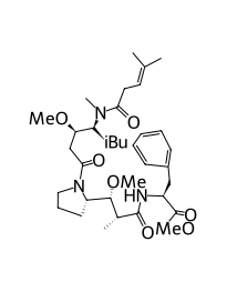 CC[C@H](C)[C@@H]([C@@H](CC(=O)N1CCC[C@H]1[C@H](OC)[C@@H](C)C(=O)N[C@@H](Cc1ccccc1)C(=O)OC)OC)N(C)C(=O)CC=C(C)C